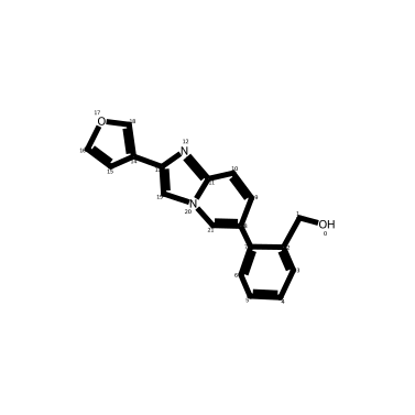 OCc1ccccc1-c1ccc2nc(-c3ccoc3)cn2c1